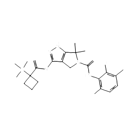 Cc1ccc(F)c(NC(=O)N2Cc3c(NC(=O)C4(S(C)(C)C)CCC4)n[nH]c3C2(C)C)c1Cl